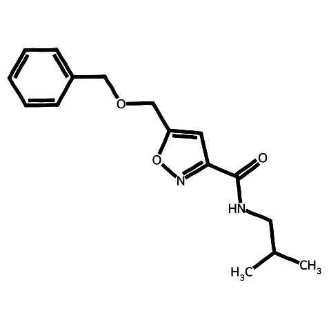 CC(C)CNC(=O)c1cc(COCc2ccccc2)on1